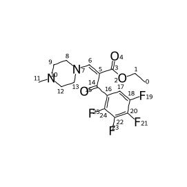 CCOC(=O)/C(=C/N1CCN(C)CC1)C(=O)c1cc(F)c(F)c(F)c1F